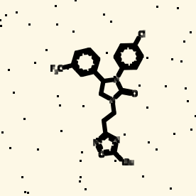 CC(C)(C)c1nc(CCN2CC(c3cccc(C(F)(F)F)c3)N(c3ccc(Cl)cc3)C2=O)no1